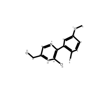 COc1ccc(F)c(-c2ncc(CCl)nc2Cl)c1